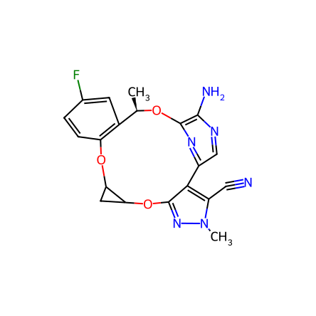 C[C@H]1Oc2nc(cnc2N)-c2c(nn(C)c2C#N)OC2CC2Oc2ccc(F)cc21